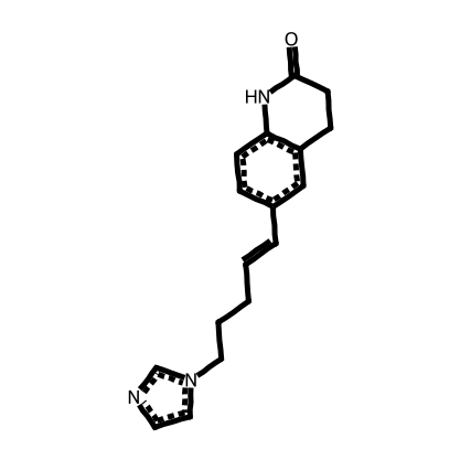 O=C1CCc2cc(C=CCCCn3ccnc3)ccc2N1